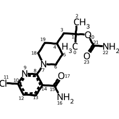 CC(C)(CC1CCN(c2nc(Cl)ccc2C(N)=O)CC1)OC(N)=O